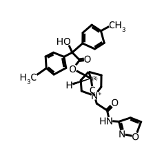 Cc1ccc(C(O)(C(=O)O[C@H]2C[N+]3(CC(=O)Nc4ccon4)CCC2CC3)c2ccc(C)cc2)cc1